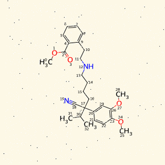 COC(=O)c1ccccc1CCNCCCCC(C#N)(c1ccc(OC)c(OC)c1)C(C)C